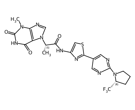 C[C@@H](C(=O)Nc1csc(-c2cnc(N3CCC[C@@H]3C(F)(F)F)nc2)n1)n1cnc2c1c(=O)[nH]c(=O)n2C